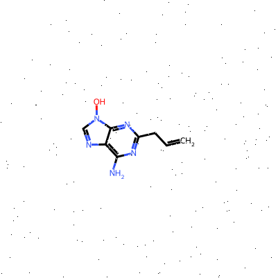 C=CCc1nc(N)c2ncn(O)c2n1